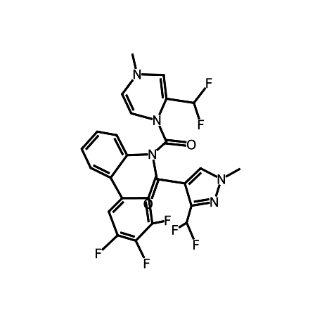 CN1C=CN(C(=O)N(C(=O)c2cn(C)nc2C(F)F)c2ccccc2-c2cc(F)c(F)c(F)c2)C(C(F)F)=C1